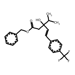 CC(C)C(O)(/C=C/c1ccc(C(F)(F)F)cc1)CC(=O)OCc1ccccc1